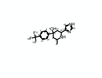 CC1CC(O)(c2ccc(C(F)(F)F)cc2)CC(c2c[nH]cn2)N1